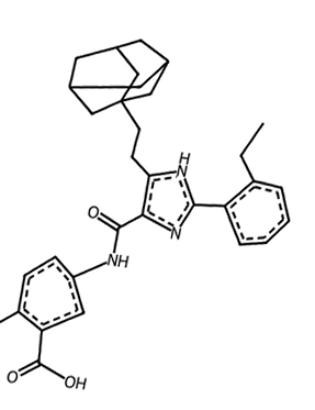 CCc1ccccc1-c1nc(C(=O)Nc2ccc(C)c(C(=O)O)c2)c(CCC23CC4CC(CC(C4)C2)C3)[nH]1